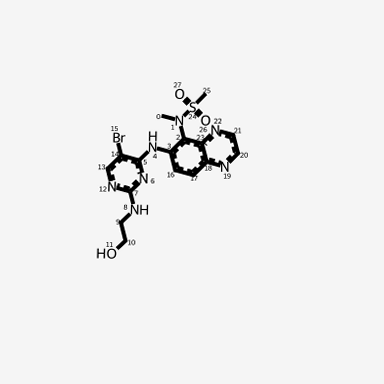 CN(c1c(Nc2nc(NCCO)ncc2Br)ccc2nccnc12)S(C)(=O)=O